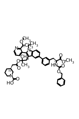 CCn1c(-c2cccnc2[C@H](C)OC)c(CC(C)(C)OC(=O)C[C@@H]2CCCN(C(=O)O)C2)c2cc(-c3cccc(C[C@H](NC(=O)OCc4ccccc4)C(=O)OC)c3)ccc21